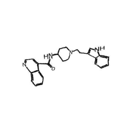 O=C(NC1CCN(CCc2c[nH]c3ccccc23)CC1)c1ccnc2ccccc12